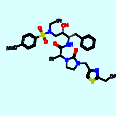 COc1ccc(S(=O)(=O)N(CC(C)C)C[C@H](O)[C@H](Cc2ccccc2)NC(=O)C(C(C)C)N2CCN(Cc3csc(COC(C)=O)n3)C2=O)cc1